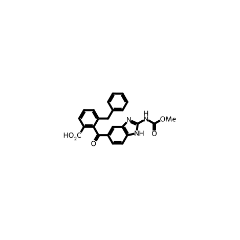 COC(=O)Nc1nc2cc(C(=O)c3c(Cc4ccccc4)cccc3C(=O)O)ccc2[nH]1